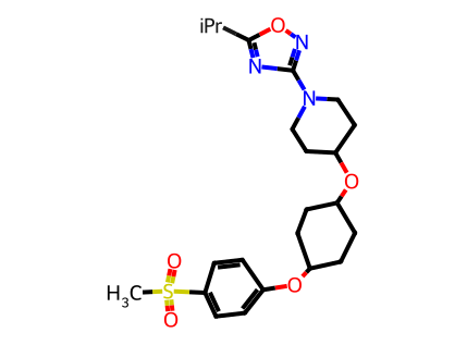 CC(C)c1nc(N2CCC(OC3CCC(Oc4ccc(S(C)(=O)=O)cc4)CC3)CC2)no1